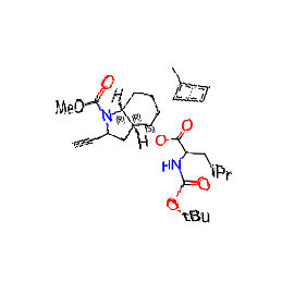 C#CC1C[C@H]2[C@@H](OC(=O)C(CC(C)C)NC(=O)OC(C)(C)C)CCC[C@H]2N1C(=O)OC.Cc1cc2ccc1-2